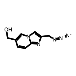 [N-]=[N+]=NCc1cn2cc(CO)ccc2n1